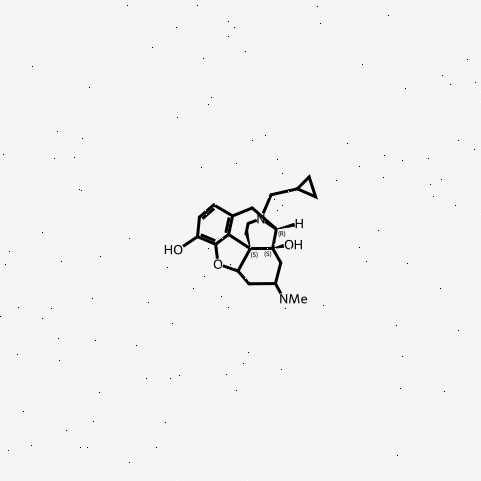 CNC1CC2Oc3c(O)ccc4c3[C@@]23CCN(CC2CC2)[C@H](C4)[C@]3(O)C1